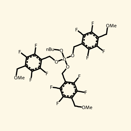 CCCC[O][Zr]([O]Cc1c(F)c(F)c(COC)c(F)c1F)([O]Cc1c(F)c(F)c(COC)c(F)c1F)[O]Cc1c(F)c(F)c(COC)c(F)c1F